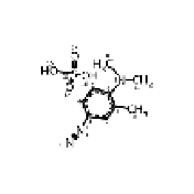 Cc1cc([N+]#N)ccc1N(C)C.O=S(=O)(O)O